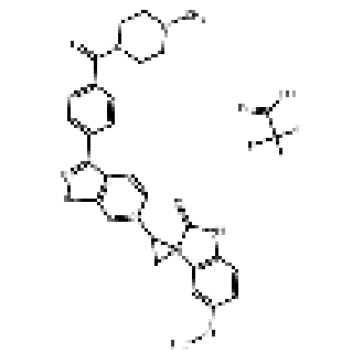 COc1ccc2c(c1)C1(CC1c1ccc3c(-c4ccc(C(=O)N5CCN(C)CC5)cc4)n[nH]c3c1)C(=O)N2.O=C(O)C(F)(F)F